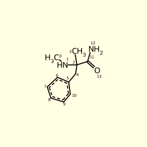 CNC(C)(Cc1ccccc1)C(N)=O